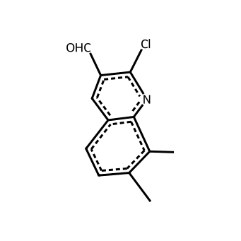 Cc1ccc2cc(C=O)c(Cl)nc2c1C